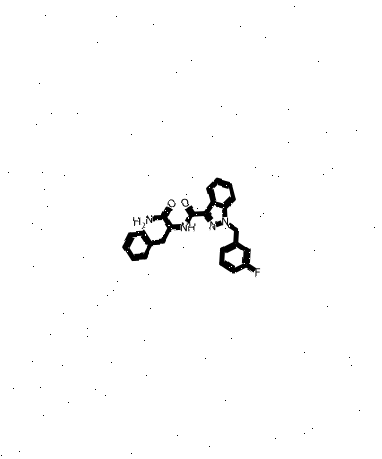 NC(=O)C(Cc1ccccc1)NC(=O)c1nn(Cc2cccc(F)c2)c2ccccc12